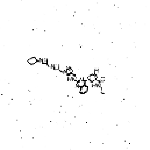 CCCNC(=O)C1CN(c2nc(NCc3cn(CCCNCCCNC4CCCCC4)nn3)nc3ccccc23)CCN1